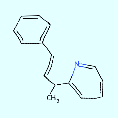 CC(C=Cc1ccccc1)c1ccccn1